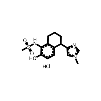 Cl.Cn1cnc(C2CCCc3c2ccc(O)c3NS(C)(=O)=O)c1